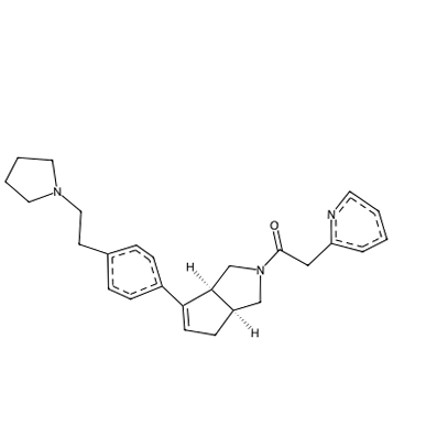 O=C(Cc1ccccn1)N1C[C@H]2CC=C(c3ccc(CCN4CCCC4)cc3)[C@H]2C1